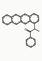 CC(C(=O)c1ccccc1)c1cccc2cc3cc4ccccc4cc3cc12